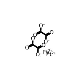 O=C([O-])C(=O)[O-].O=C([O-])C(=O)[O-].[Pt+2].[Pt+2]